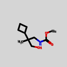 CC(C)(C)OC(=O)NCC(C)(CO)C1CCC1